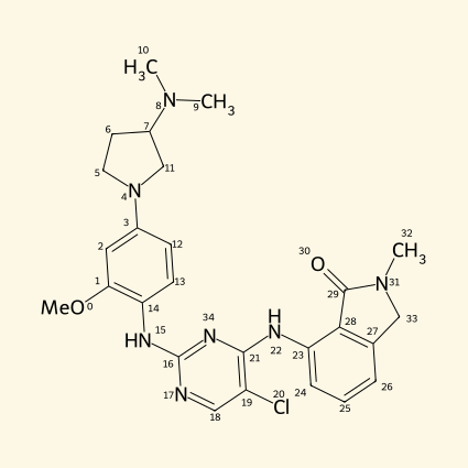 COc1cc(N2CCC(N(C)C)C2)ccc1Nc1ncc(Cl)c(Nc2cccc3c2C(=O)N(C)C3)n1